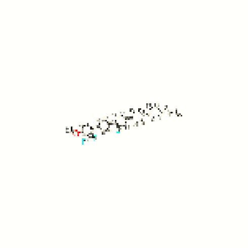 C=CCCC1CCC(C2CCC(c3ccc(-c4ccc(-c5ccc(OCC)c(F)c5F)cc4)c(F)c3)CC2)CC1